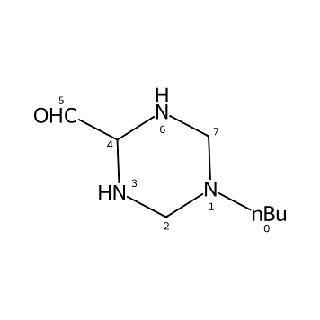 CCCCN1CNC(C=O)NC1